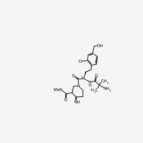 CNC(=O)C1CN(C(=O)[C@@H](CCc2ccc(CO)cc2Cl)NC(=O)C(C)(C)N)CCC1=N